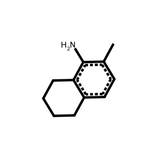 Cc1ccc2c(c1N)CCCC2